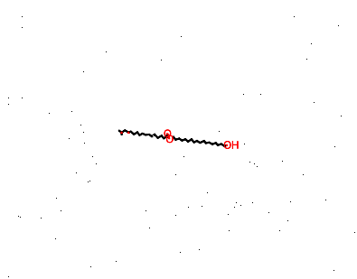 CC(C)CCCCCCCCCCCCCCC(=O)OCCCCCCCCCCCCCCCCCCO